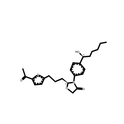 CCCCC[C@H](O)c1ccc(N2C(=O)CO[C@H]2CCCc2ccc(C(C)=O)s2)cc1